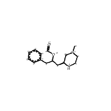 CN1CCNC(CC(Cc2ccccc2)OC=O)C1